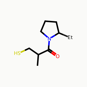 CCC1CCCN1C(=O)C(C)CS